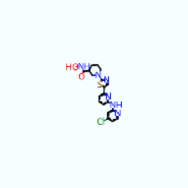 O=C(NO)C1CCCN(c2ncc(-c3cccc(Nc4cc(Cl)ccn4)n3)s2)C1